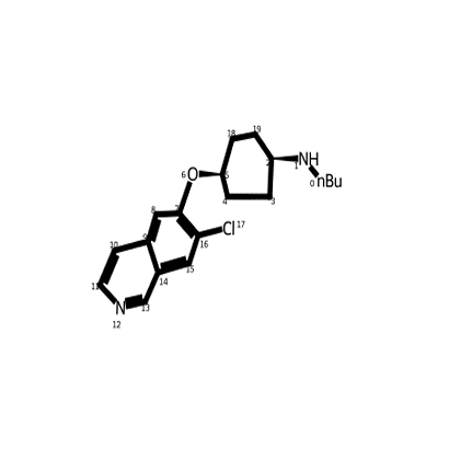 CCCCN[C@H]1CC[C@@H](Oc2cc3ccncc3cc2Cl)CC1